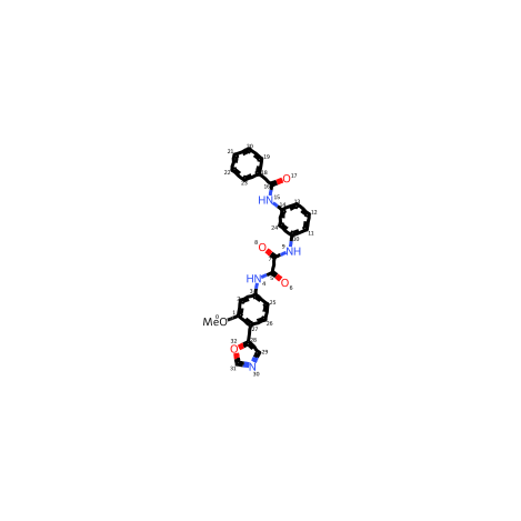 COc1cc(NC(=O)C(=O)Nc2cccc(NC(=O)c3ccccc3)c2)ccc1-c1cnco1